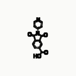 O=C(O)c1ccc2c(c1)C(=O)N(c1ccncc1)C2=O